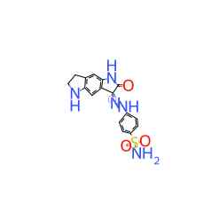 NS(=O)(=O)c1ccc(N/N=C2\C(=O)Nc3cc4c(cc32)NCC4)cc1